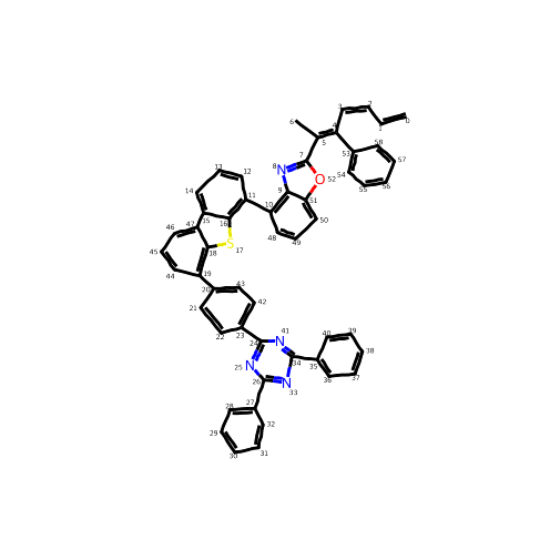 C=C/C=C\C(=C(/C)c1nc2c(-c3cccc4c3sc3c(-c5ccc(-c6nc(-c7ccccc7)nc(-c7ccccc7)n6)cc5)cccc34)cccc2o1)c1ccccc1